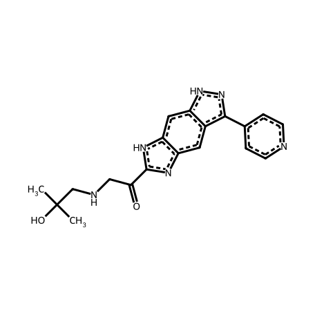 CC(C)(O)CNCC(=O)c1nc2cc3c(-c4ccncc4)n[nH]c3cc2[nH]1